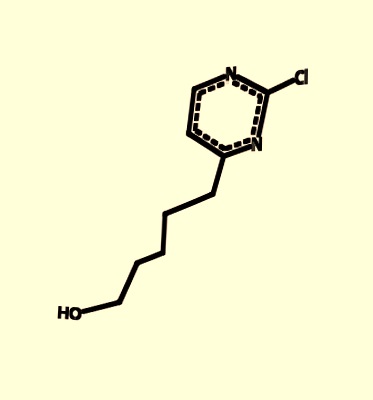 OCCCCCc1ccnc(Cl)n1